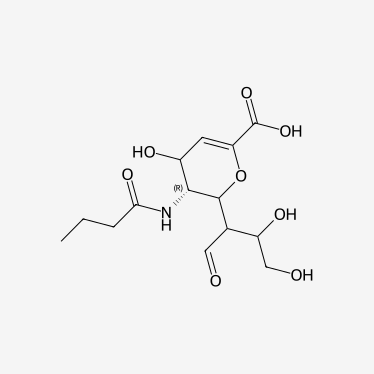 CCCC(=O)N[C@@H]1C(O)C=C(C(=O)O)OC1C(C=O)C(O)CO